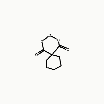 O=C1OOOC(=O)C12CCCCC2